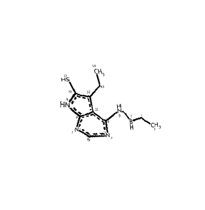 CCBNc1ncnc2[nH]c(S)c(CC)c12